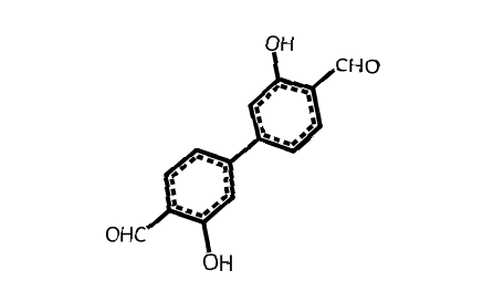 O=Cc1ccc(-c2ccc(C=O)c(O)c2)cc1O